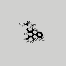 COC(=O)C1=C(CF)NC(CSC(=N)N)=C(C(=O)OC(C)C)C1c1c(F)ccc(Cl)c1C(F)(F)F